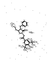 Br.COCCC1CN(CC(=O)c2cc(C(C)(C)C)c(O)c(C(C)(C)C)c2)C(=N)C1Cc1ccccc1